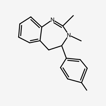 CC1=Nc2ccccc2CC(c2ccc(C)cc2)N1C